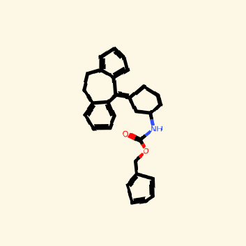 O=C(NC1CCCC(=C2c3ccccc3CCc3ccccc32)C1)OCc1ccccc1